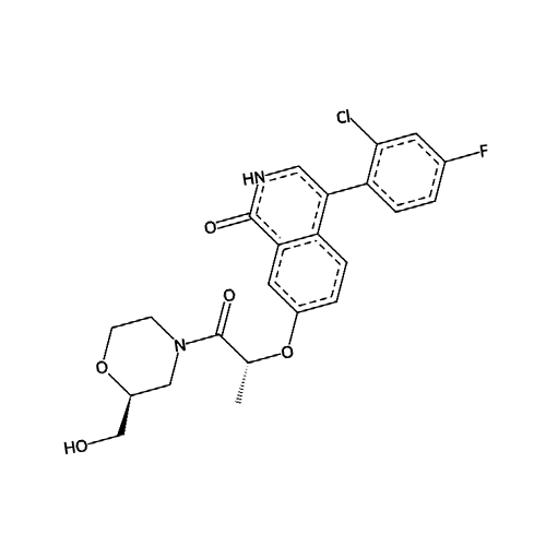 C[C@@H](Oc1ccc2c(-c3ccc(F)cc3Cl)c[nH]c(=O)c2c1)C(=O)N1CCO[C@H](CO)C1